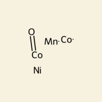 [Co].[Mn].[Ni].[O]=[Co]